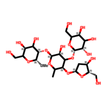 CO[C@@H]1OC(CO)[C@@H](O)C(O)[C@@H]1O[C@@H]1OC(C)[C@H](O[C@H]2C[C@@H](O)[C@H](CO)O2)C(O[C@@H]2OC(CO)[C@@H](O)C(O)[C@@H]2O)[C@@H]1O